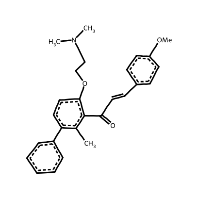 COc1ccc(C=CC(=O)c2c(OCCN(C)C)ccc(-c3ccccc3)c2C)cc1